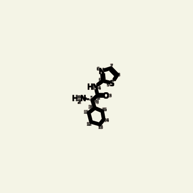 N[C@H](C(=O)Nc1nccs1)C1CCCCC1